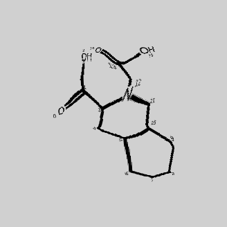 O=C(O)C1CC2CCCCC2CN1C(=O)O